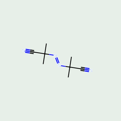 CC(C)(C#N)N=NC(C)(C)C#N.[C]